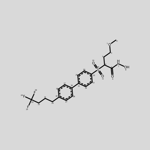 COCCC(C(=O)NO)S(=O)(=O)c1ccc(-c2ccc(CCCC(F)(F)F)cc2)cc1